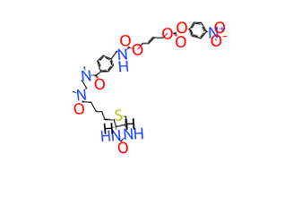 CN(CCN(C)C(=O)c1ccc(CNC(=O)OC/C=C/COC(=O)Oc2ccc([N+](=O)[O-])cc2)cc1)C(=O)CCCC[C@H]1SC[C@H]2NC(=O)N[C@H]21